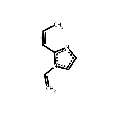 C=Cn1ccnc1/C=C\C